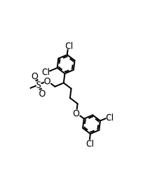 CS(=O)(=O)OCC(CCCOc1cc(Cl)cc(Cl)c1)c1ccc(Cl)cc1Cl